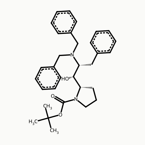 CC(C)(C)OC(=O)N1CCC[C@H]1[C@H](O)[C@@H](Cc1ccccc1)N(Cc1ccccc1)Cc1ccccc1